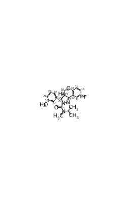 CC(C)N(C)C(=O)N1N=C2c3cc(F)ccc3OC[C@H]2[C@H]1c1cccc(O)c1